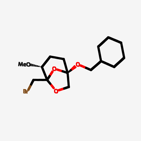 CO[C@@H]1CC[C@]2(OCC3CCCCC3)COC1(CBr)O2